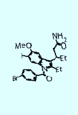 CCc1c(C(CC)CC(N)=O)c2cc(OC)c(I)cc2n1C(=O)c1ccc(Br)cc1